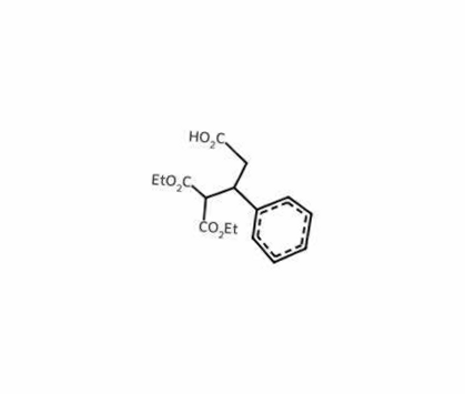 CCOC(=O)C(C(=O)OCC)C(CC(=O)O)c1ccccc1